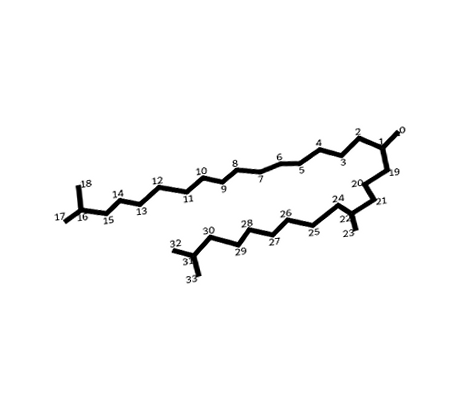 [CH2]C(CCCCCCCCCCCCCCC(C)C)CCCC(C)CCCCCCCC(C)C